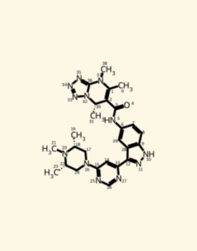 CC1=C(C(=O)Nc2ccc3[nH]nc(-c4cc(N5C[C@@H](C)N(C)[C@@H](C)C5)ncn4)c3c2)[C@H](C)n2nnnc2N1C